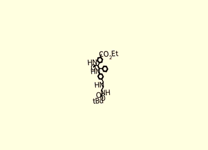 CCOC(=O)c1ccc2c(c1)NC(=O)/C2=C(\Nc1ccc(CNCCNC(=O)OC(C)(C)C)cc1)c1ccccc1